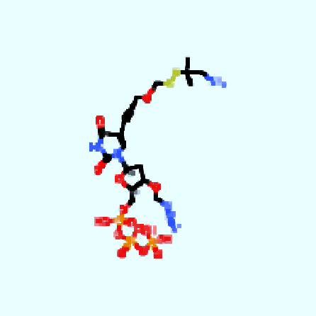 CC(C)(CN)SSCOCC#Cc1cn([C@H]2CC(OCN=[N+]=[N-])[C@@H](COP(=O)(O)OP(=O)(O)OP(=O)(O)O)O2)c(=O)[nH]c1=O